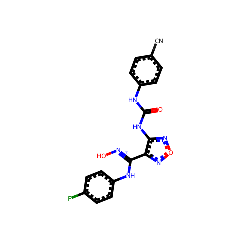 N#Cc1ccc(NC(=O)Nc2nonc2/C(=N/O)Nc2ccc(F)cc2)cc1